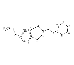 FC(F)(F)CCc1ccc2c(n1)CCN(CCC1CCCCC1)CC2